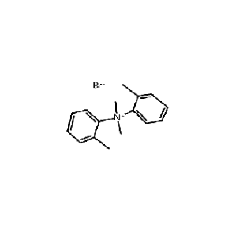 Cc1ccccc1[N+](C)(C)c1ccccc1C.[Br-]